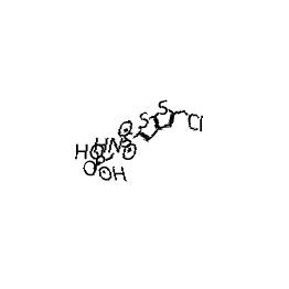 O=P(O)(O)CNS(=O)(=O)c1cc2cc(CCl)sc2s1